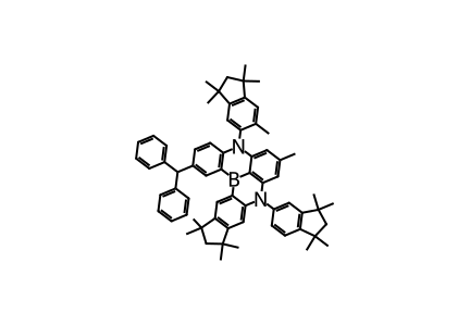 Cc1cc2c3c(c1)N(c1cc4c(cc1C)C(C)(C)CC4(C)C)c1ccc(C(c4ccccc4)c4ccccc4)cc1B3c1cc3c(cc1N2c1ccc2c(c1)C(C)(C)CC2(C)C)C(C)(C)CC3(C)C